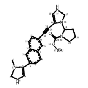 CN1CNC=C1c1ccc2cc(C#CC3=CNCN3C3CCCN3C(=O)OC(C)(C)C)ccc2c1